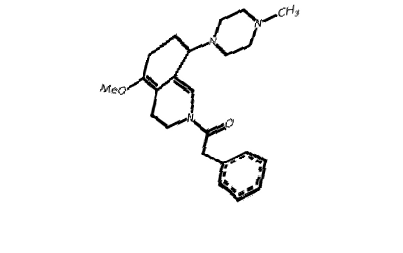 COC1=C2CCN(C(=O)Cc3ccccc3)C=C2C(N2CCN(C)CC2)CC1